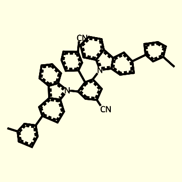 Cc1cccc(-c2ccc3c(c2)c2ccccc2n3-c2cc(C#N)cc(-n3c4ccccc4c4cc(-c5cccc(C)c5)ccc43)c2-c2cccc(C#N)c2)c1